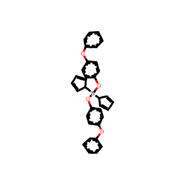 C1=C[CH]([Zr]([O]c2ccc(Oc3ccccc3)cc2)([O]c2ccc(Oc3ccccc3)cc2)[CH]2C=CC=C2)C=C1